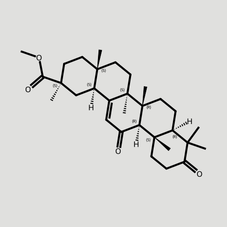 COC(=O)[C@@]1(C)CC[C@]2(C)CC[C@]3(C)C(=CC(=O)[C@@H]4[C@@]5(C)CCC(=O)C(C)(C)[C@@H]5CC[C@]43C)[C@H]2C1